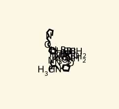 BC(B)(B)C(C)(NS(=O)(=O)c1cccc(Nc2nc(Nc3ccc(OCCN4CCCC4)cc3)ncc2C)c1)C(B)(B)B